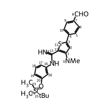 CNc1cc(-c2ccc(C=O)cc2)sc1C(=N)Nc1cccc(O[Si](C)(C)C(C)(C)C)c1